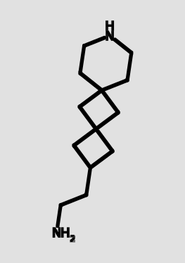 NCCC1CC2(C1)CC1(CCNCC1)C2